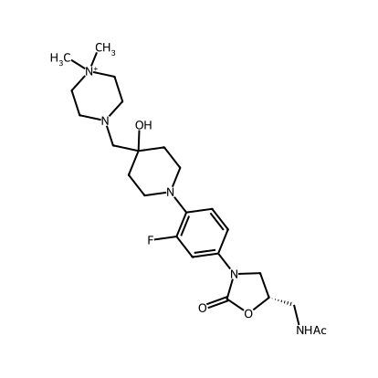 CC(=O)NC[C@H]1CN(c2ccc(N3CCC(O)(CN4CC[N+](C)(C)CC4)CC3)c(F)c2)C(=O)O1